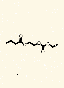 CCCC(=O)OCCOC(=O)OCC